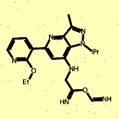 CCOc1ncccc1-c1cc(NCC(=N)OC=N)c2c(n1)c(C)nn2C(C)C